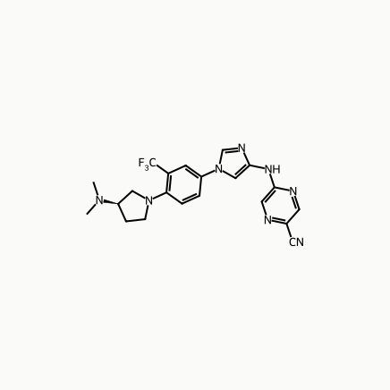 CN(C)[C@@H]1CCN(c2ccc(-n3cnc(Nc4cnc(C#N)cn4)c3)cc2C(F)(F)F)C1